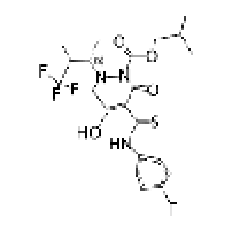 CC(C)COC(=O)N1C(=O)C(C(=S)Nc2ccc(F)cc2)=C(O)CN1[C@@H](C)C(C)C(F)(F)F